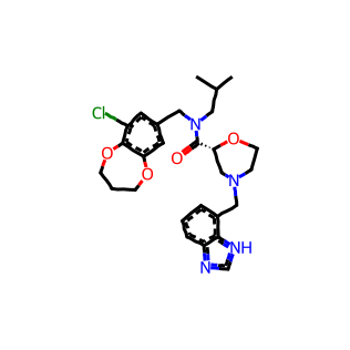 CC(C)CN(Cc1cc(Cl)c2c(c1)OCCCO2)C(=O)[C@H]1CN(Cc2cccc3nc[nH]c23)CCO1